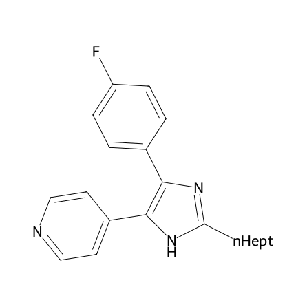 CCCCCCCc1nc(-c2ccc(F)cc2)c(-c2ccncc2)[nH]1